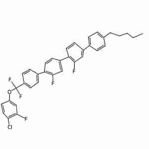 CCCCCc1ccc(-c2ccc(-c3ccc(-c4ccc(C(F)(F)Oc5ccc(Cl)c(F)c5)cc4)c(F)c3)c(F)c2)cc1